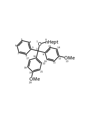 CCCCCCCOC(c1ccccc1)(c1ccc(OC)cc1)c1ccc(OC)cc1